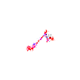 CC\N=C(/C=C/C=C/C=C1/N(CCCCCC(=O)NCCSSCCCC(=O)Nc2ncnc3c2ncn3C2CC(O)C(COP(=O)(O)OP(=O)(O)OP(=O)(O)O)O2)c2ccc(S(=O)(=O)O)cc2C1(C)C)C(C)(C)c1cc(S(=O)(=O)O)ccc1C